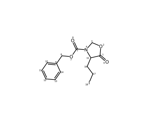 O=C1OCN(C(=O)OCc2ccccc2)C1CCI